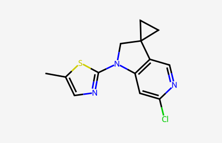 Cc1cnc(N2CC3(CC3)c3cnc(Cl)cc32)s1